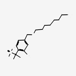 O=P(O)(O)C(F)(F)c1ccc(CSCCCCCCCO)cc1Br